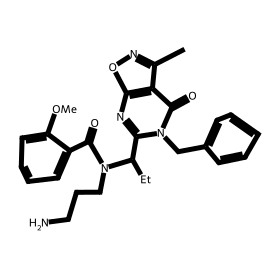 CCC(c1nc2onc(C)c2c(=O)n1Cc1ccccc1)N(CCCN)C(=O)c1ccccc1OC